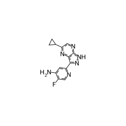 Nc1cc(-c2n[nH]c3ncc(C4CC4)nc23)ncc1F